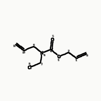 C=CCOC(=O)N(CCl)CC=C